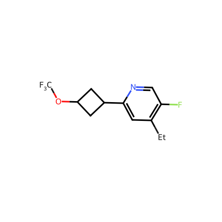 CCc1cc(C2CC(OC(F)(F)F)C2)ncc1F